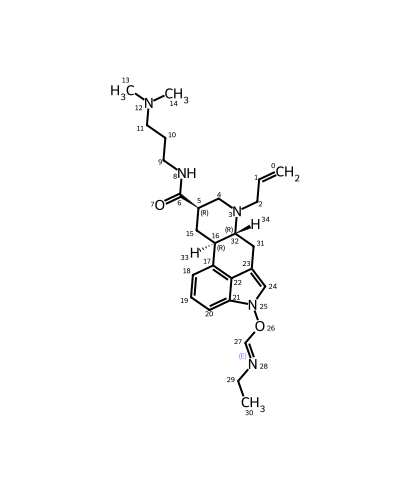 C=CCN1C[C@H](C(=O)NCCCN(C)C)C[C@@H]2c3cccc4c3c(cn4O/C=N/CC)C[C@H]21